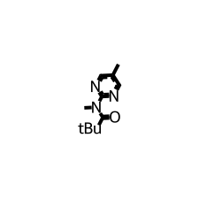 Cc1cnc(N(C)C(=O)C(C)(C)C)nc1